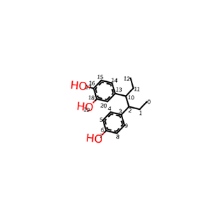 CCC(c1ccc(O)cc1)C(CC)c1ccc(O)c(O)c1